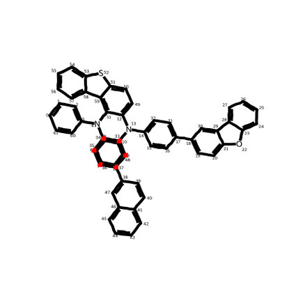 c1ccc(N(c2ccccc2)c2c(N(c3ccc(-c4ccc5oc6ccccc6c5c4)cc3)c3cccc(-c4ccc5ccccc5c4)c3)ccc3sc4ccccc4c23)cc1